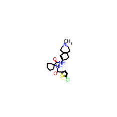 CN1CCC2=C(CCC(NC(=O)C3(NC(=O)c4ccc(Cl)s4)CCCCC3)=C2)CC1